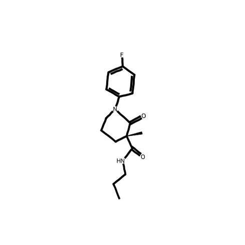 CCCNC(=O)[C@]1(C)CCCN(c2ccc(F)cc2)C1=O